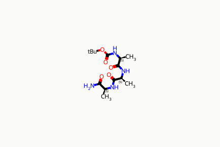 C[C@H](NC(=O)[C@H](C)NC(=O)[C@H](C)NC(=O)OC(C)(C)C)C(N)=O